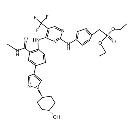 CCOP(=O)(Cc1ccc(Nc2ncc(C(F)(F)F)c(Nc3ccc(-c4cnn([C@H]5CC[C@H](O)CC5)c4)cc3C(=O)NC)n2)cc1)OCC